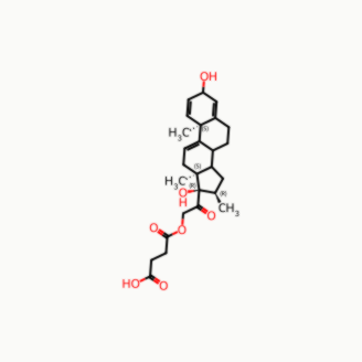 C[C@@H]1CC2C3CCC4=CC(O)C=C[C@]4(C)C3=CC[C@]2(C)[C@@]1(O)C(=O)COC(=O)CCC(=O)O